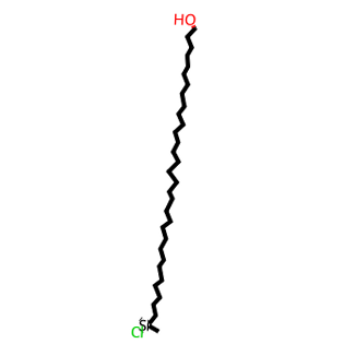 C[Si](C)(Cl)CCCCCCCCCCCCCCCCCCCCCCCCCCCCCCCO